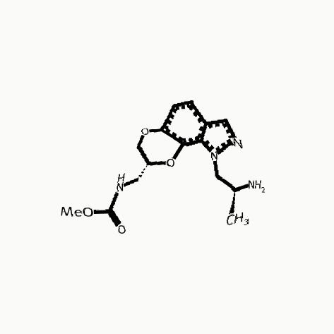 COC(=O)NC[C@@H]1COc2ccc3cnn(C[C@H](C)N)c3c2O1